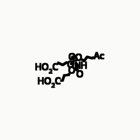 CC(=O)CCCOP(=O)(NC(=O)OCCCC(=O)O)OCCCC(=O)O